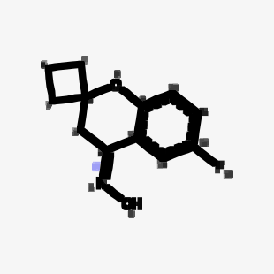 O/N=C1/CC2(CCC2)Oc2ccc(F)cc21